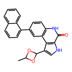 CC1OC(c2c[nH]c3c(=O)[nH]c4ccc(-c5cccc6ccccc56)cc4c23)O1